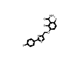 NC(=O)c1c(F)ccc(OCc2csc(-c3ccc(F)cc3)n2)c1F